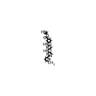 Cc1cccc(-c2nccc(Nc3ccnc(Nc4cccc(C(=O)OC5CNC5)c4)n3)n2)n1